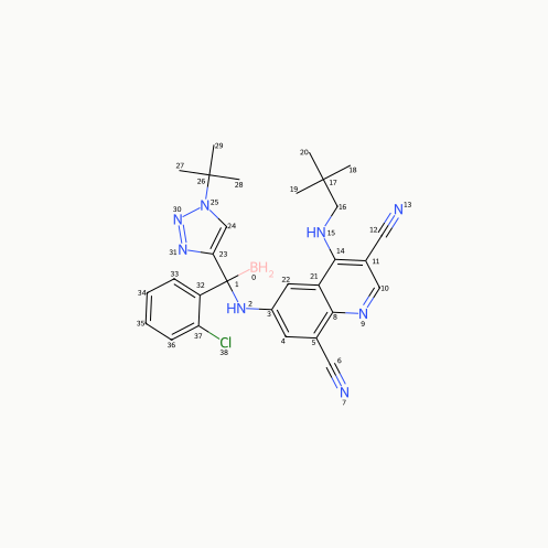 BC(Nc1cc(C#N)c2ncc(C#N)c(NCC(C)(C)C)c2c1)(c1cn(C(C)(C)C)nn1)c1ccccc1Cl